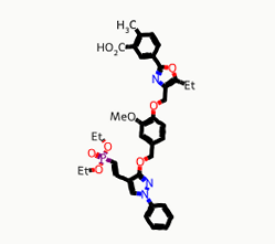 CCOP(=O)(C=Cc1cn(-c2ccccc2)nc1OCc1ccc(OCc2nc(-c3ccc(C)c(C(=O)O)c3)oc2CC)c(OC)c1)OCC